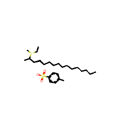 CCCCCCCCCCCCCCC(C)[S+](C)CC.Cc1ccc(S(=O)(=O)[O-])cc1